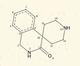 O=C1NCc2ccccc2C12CCNCC2